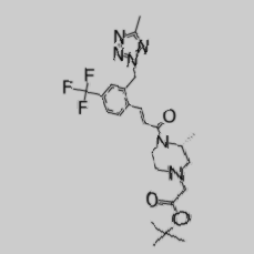 Cc1nnn(Cc2cc(C(F)(F)F)ccc2C=CC(=O)N2CCN(CC(=O)OC(C)(C)C)C[C@H]2C)n1